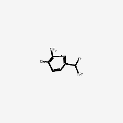 CCCC(CC)c1ccc(Cl)c(C(F)(F)F)c1